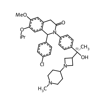 COc1cc2c(cc1OC(C)C)C(c1ccc(Cl)cc1)N(c1ccc([C@@](C)(O)C3CN(C4CCN(C)CC4)C3)cc1)C(=O)C2